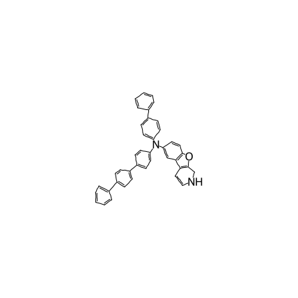 C1=Cc2c(oc3ccc(N(c4ccc(-c5ccccc5)cc4)c4ccc(-c5ccc(-c6ccccc6)cc5)cc4)cc23)CN1